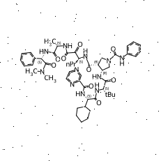 CCC[C@H](NC(=O)[C@@H]1CN(C(=O)Nc2ccccc2)C[C@@H]1NC(=O)[C@@H](NC(=O)[C@@H](NC(=O)c1cnccn1)C1CCCCC1)C(C)(C)C)C(=O)C(=O)N[C@@H](C)C(=O)N[C@H](C(=O)N(C)C)c1ccccc1